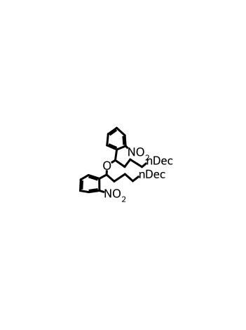 CCCCCCCCCCCCCC(OC(CCCCCCCCCCCCC)c1ccccc1[N+](=O)[O-])c1ccccc1[N+](=O)[O-]